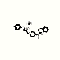 Cl.Cl.OC(COc1ccc(F)c(F)c1)CN1CCC(NC2=Nc3ccccc3CS2)CC1